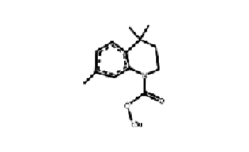 Cc1ccc2c(c1)N(C(=O)OC(C)(C)C)CCC2(C)C